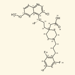 COc1ccc2ncc(Cl)c([C@@H](F)CCC3(CC(=O)O)CCN(CCCc4c(F)cc(F)cc4F)CC3)c2c1